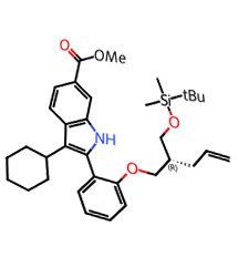 C=CC[C@H](COc1ccccc1-c1[nH]c2cc(C(=O)OC)ccc2c1C1CCCCC1)CO[Si](C)(C)C(C)(C)C